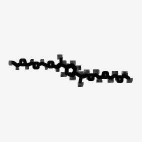 CCOCCOCCOC=C(C)c1ccc(C(C)=COCCOCCOCC)cc1